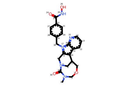 CN1COCC2CN(Cc3c2c2cccnc2n3Cc2ccc(C(=O)NO)cc2)C1=O